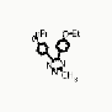 CCCOc1ccc(-c2nnc(C)nc2-c2ccc(OCC)cc2)cc1